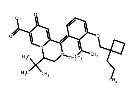 CCCC1(COc2ccc/c(=C3\c4cc(=O)c(C(=O)O)cn4C(C(C)(C)C)CN3C)c2=C(C)C)CCC1